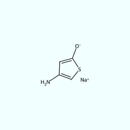 Nc1csc([O-])c1.[Na+]